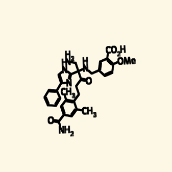 COc1ccc(CNC(CN)(C(=O)CCc2c(C)cc(C(N)=O)cc2C)c2nc(-c3ccccc3)c[nH]2)cc1C(=O)O